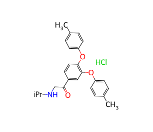 Cc1ccc(Oc2ccc(C(=O)CNC(C)C)cc2Oc2ccc(C)cc2)cc1.Cl